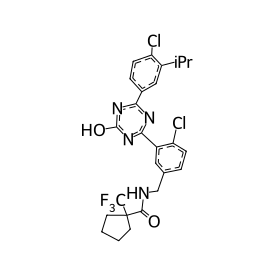 CC(C)c1cc(-c2nc(O)nc(-c3cc(CNC(=O)C4(C(F)(F)F)CCCC4)ccc3Cl)n2)ccc1Cl